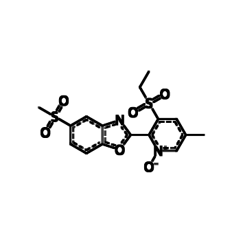 CCS(=O)(=O)c1cc(C)c[n+]([O-])c1-c1nc2cc(S(C)(=O)=O)ccc2o1